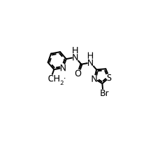 [CH2]c1cccc(NC(=O)Nc2csc(Br)n2)n1